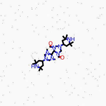 CN1CN(C2CC(C)(C)NC(C)(C)C2)CN(C)C1C1N(C=O)CN(C2CC(C)(C)NC(C)(C)C2)CN1C=O